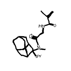 C=C(C)C(=O)NCC(=O)N(C)C1(C(C)C)C2CC3CC(C2)CC1C3